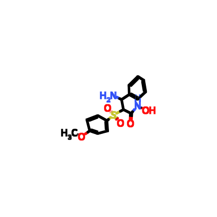 COc1ccc(S(=O)(=O)C(C(=O)NO)C(N)c2ccccc2)cc1